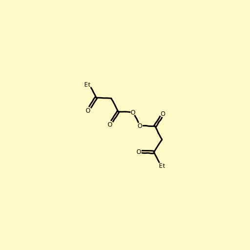 CCC(=O)CC(=O)OOC(=O)CC(=O)CC